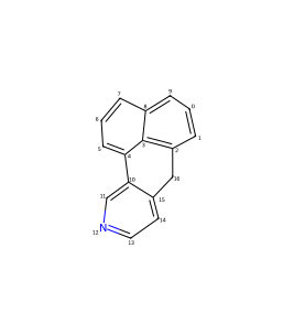 c1cc2c3c(cccc3c1)-c1cnccc1C2